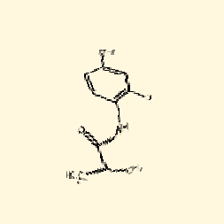 CC(C(=O)O)C(=O)Nc1ccc(O)cc1Cl